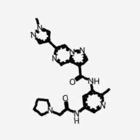 Cc1ncc(NC(=O)CN2CCCC2)cc1NC(=O)c1cnn2cc(-c3cnn(C)c3)ncc12